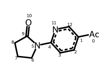 CC(=O)c1ccc(N2CCCC2=O)nc1